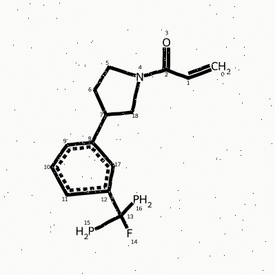 C=CC(=O)N1CCC(c2cccc(C(F)(P)P)c2)C1